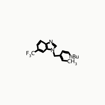 C/C=C(\C=C/CCCC)Cn1cnc2ccc(C(F)(F)F)cc21